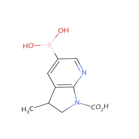 CC1CN(C(=O)O)c2ncc(B(O)O)cc21